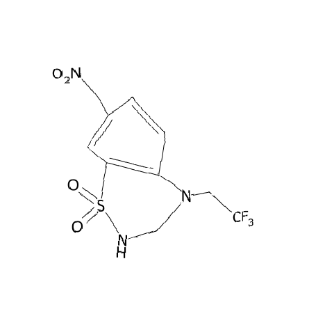 O=[N+]([O-])c1ccc2c(c1)S(=O)(=O)NCN2CC(F)(F)F